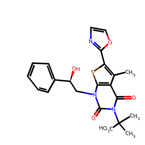 Cc1c(-c2ncco2)sc2c1c(=O)n(C(C)(C)C(=O)O)c(=O)n2C[C@H](O)c1ccccc1